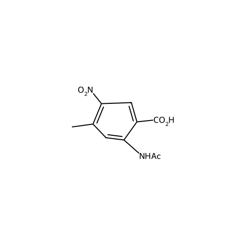 CC(=O)Nc1cc(C)c([N+](=O)[O-])cc1C(=O)O